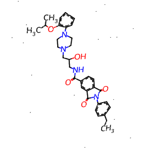 CCc1ccc(N2C(=O)c3ccc(C(=O)NCC(O)CN4CCN(c5ccccc5OC(C)C)CC4)cc3C2=O)cc1